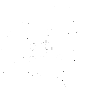 O=C(N[C@@H](CNC[C@@H](Cc1ccccc1)NC(=O)OCc1cccnc1)Cc1ccccc1)OCc1cccnc1